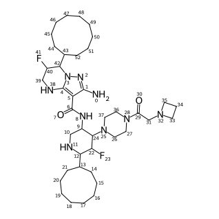 Nc1nn2c(c1C(=O)NC1CNC(C3CCCCCCCC3)C(F)C1N1CCN(C(=O)CN3CCC3)CC1)NCC(F)C2C1CCCCCCCCC1